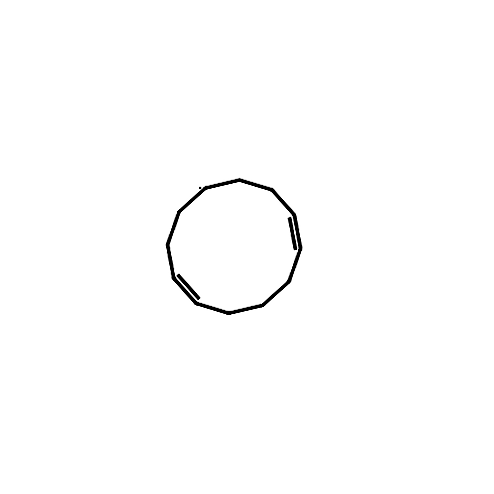 [CH]1CCC=CCCCC=CCC1